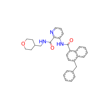 O=C(NCC1CCOCC1)c1ncccc1NC(=O)c1ccc(Cc2ccccc2)c2ccccc12